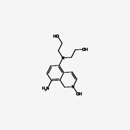 Nc1ccc(N(CCO)CCO)c2c1CN(O)C=C2